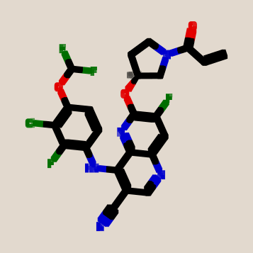 C=CC(=O)N1CC[C@H](Oc2nc3c(Nc4ccc(OC(F)F)c(Cl)c4F)c(C#N)cnc3cc2F)C1